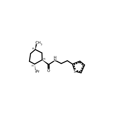 CC(C)[C@@H]1CC[C@@H](C)C[C@H]1C(=O)NCCc1cccs1